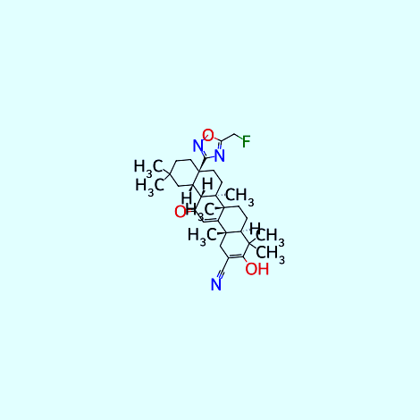 CC1(C)CC[C@]2(c3noc(CF)n3)CC[C@]3(C)[C@H](C(=O)C=C4[C@@]5(C)CC(C#N)=C(O)C(C)(C)[C@@H]5CC[C@]43C)[C@@H]2C1